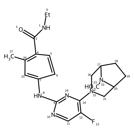 CCNC(=O)c1ccc(Nc2ncc(F)c(N3CC4CCC(C3)N4C(=O)O)n2)cc1C